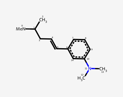 CNC(C)CC=Cc1cccc(N(C)C)c1